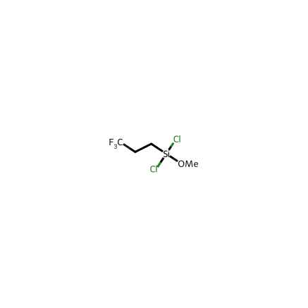 CO[Si](Cl)(Cl)CCC(F)(F)F